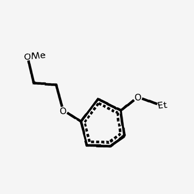 CCOc1cccc(OCCOC)c1